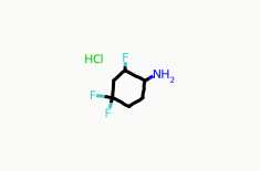 Cl.NC1CCC(F)(F)CC1F